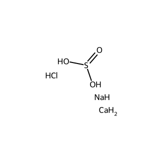 Cl.O=S(O)O.[CaH2].[NaH]